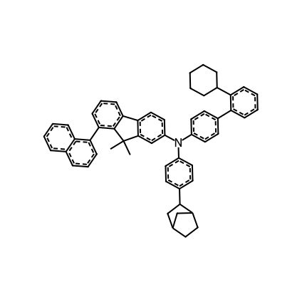 CC1(C)c2cc(N(c3ccc(-c4ccccc4C4CCCCC4)cc3)c3ccc(C4CC5CCC4C5)cc3)ccc2-c2cccc(-c3cccc4ccccc34)c21